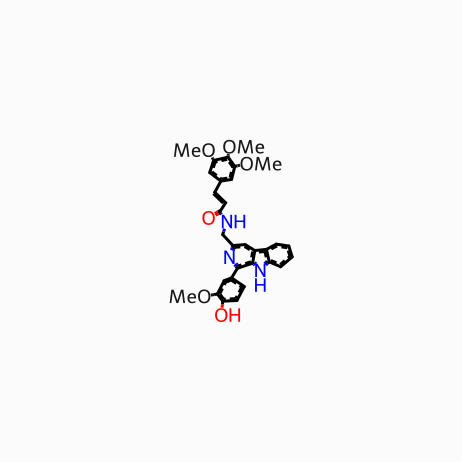 COc1cc(-c2nc(CNC(=O)/C=C/c3cc(OC)c(OC)c(OC)c3)cc3c2[nH]c2ccccc23)ccc1O